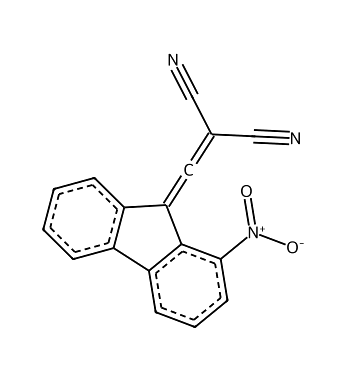 N#CC(=C=C1c2ccccc2-c2cccc([N+](=O)[O-])c21)C#N